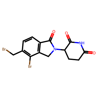 O=C1CCC(N2Cc3c(ccc(CBr)c3Br)C2=O)C(=O)N1